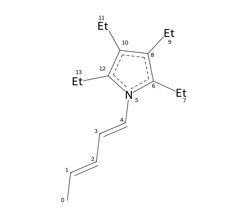 CC=CC=Cn1c(CC)c(CC)c(CC)c1CC